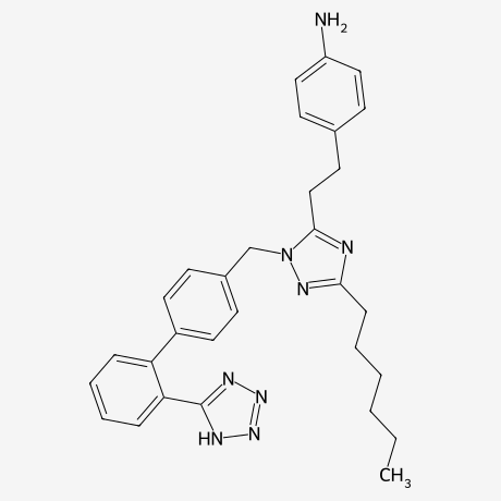 CCCCCCc1nc(CCc2ccc(N)cc2)n(Cc2ccc(-c3ccccc3-c3nnn[nH]3)cc2)n1